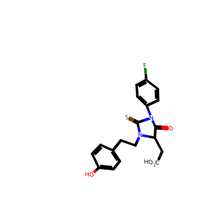 O=C(O)CC1C(=O)N(c2ccc(F)cc2)C(=S)N1CCc1ccc(O)cc1